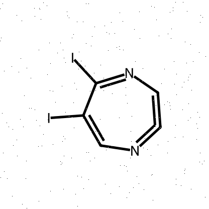 IC1=CN=C=CN=C1I